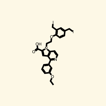 CCOc1cccc(-c2nccc3c2cc(C(=O)O)n3CCOc2ccc(CI)cc2CI)c1